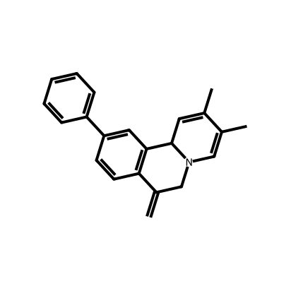 C=C1CN2C=C(C)C(C)=CC2c2cc(-c3ccccc3)ccc21